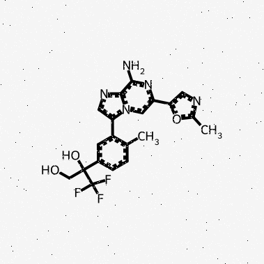 Cc1ncc(-c2cn3c(-c4cc(C(O)(CO)C(F)(F)F)ccc4C)cnc3c(N)n2)o1